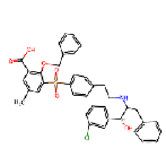 Cc1cc(C(=O)O)c(OCc2ccccc2)c(S(=O)(=O)c2ccc(CCNC(Cc3ccccc3)[C@H](O)c3cccc(Cl)c3)cc2)c1